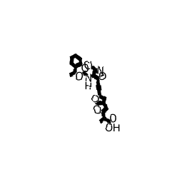 CC(OC(=O)Nc1c(Cl)noc1C#Cc1cc2cc(C(C)C(=O)O)oc2o1)c1ccccc1